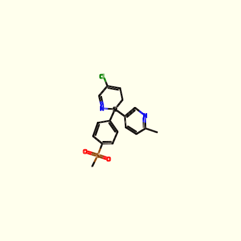 Cc1ccc([Si]2(c3ccc(S(C)(=O)=O)cc3)CC=C(Cl)C=N2)cn1